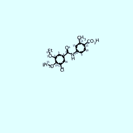 CCOc1cc(C(=O)Nc2ccc(C(=O)O)c(C)c2)cc(Cl)c1OC(C)C